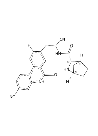 N#Cc1ccc2c(c1)[nH]c(=O)c1cc(CC(C#N)NC(=O)[C@H]3N[C@@H]4CC[C@H]3C4)c(F)cc12